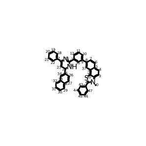 CN1c2ccc3ccc(-c4cccc(C5=NC(c6ccccc6)=CC(c6ccc7ccccc7c6)N5)c4)cc3c2SC1c1ccccc1